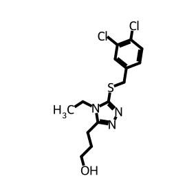 CCn1c(CCCO)nnc1SCc1ccc(Cl)c(Cl)c1